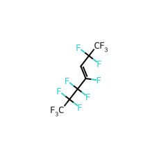 FC(=CC(F)(F)C(F)(F)F)C(F)(F)C(F)(F)C(F)(F)F